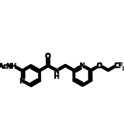 CC(=O)Nc1cc(C(=O)NCc2cccc(OCC(F)(F)F)n2)ccn1